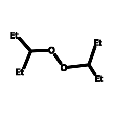 CCC(CC)OOC(CC)CC